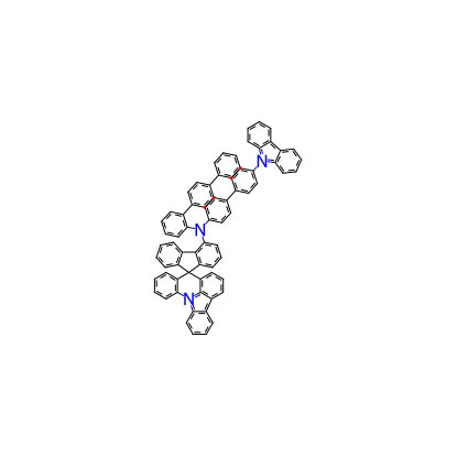 c1ccc(-c2ccc(-c3ccccc3N(c3ccc(-c4ccc(-n5c6ccccc6c6ccccc65)cc4)cc3)c3cccc4c3-c3ccccc3C43c4ccccc4-n4c5ccccc5c5cccc3c54)cc2)cc1